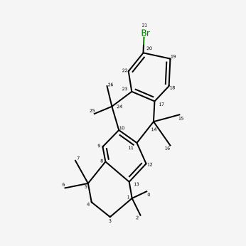 CC1(C)CCC(C)(C)c2cc3c(cc21)C(C)(C)c1ccc(Br)cc1C3(C)C